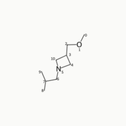 COCC1CN(CC(C)C)C1